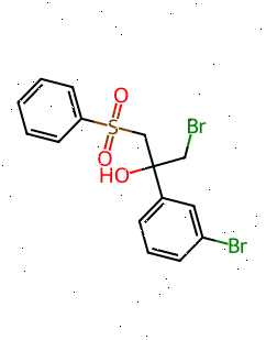 O=S(=O)(CC(O)(CBr)c1cccc(Br)c1)c1ccccc1